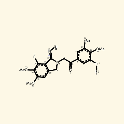 CCOc1cc(C(=O)CN2Cc3cc(OC)c(OC)c(F)c3/C2=N/Br)cc(C(C)(C)C)c1OC